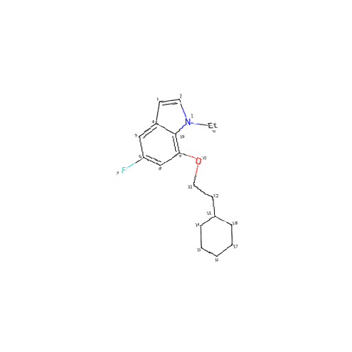 CCn1ccc2cc(F)cc(OCCC3CCCCC3)c21